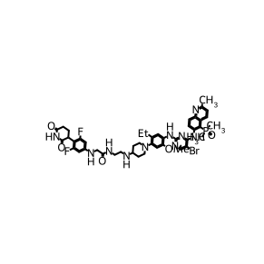 CCc1cc(Nc2ncc(Br)c(Nc3ccc4nc(C)ccc4c3P(C)(C)=O)n2)c(OC)cc1N1CCC(NCCNC(=O)CNc2cc(F)c(C3CCC(=O)NC3=O)c(F)c2)CC1